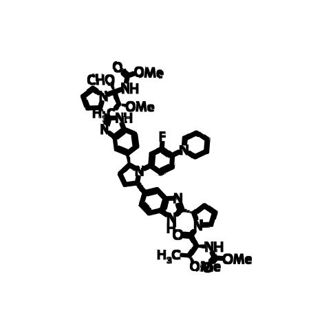 COC(=O)N[C@H](C(=O)N1CCC[C@H]1c1nc2cc(C3CC[C@@H](c4ccc5[nH]c([C@@H]6CCCN6[C@@](C=O)(NC(=O)OC)[C@@H](C)OC)nc5c4)N3c3ccc(N4CCCCC4)c(F)c3)ccc2[nH]1)[C@@H](C)OC